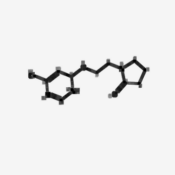 O=C1CCCN1CCOC1C=C(Cl)N=CN1